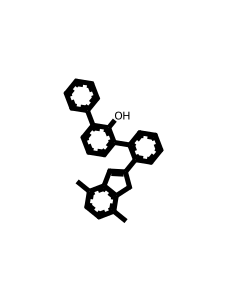 Cc1ccc(C)c2c1C=C(c1ccccc1-c1cccc(-c3ccccc3)c1O)C2